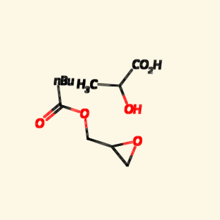 CC(O)C(=O)O.CCCCC(=O)OCC1CO1